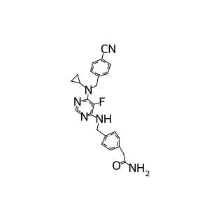 N#Cc1ccc(CN(c2ncnc(NCc3ccc(CC(N)=O)cc3)c2F)C2CC2)cc1